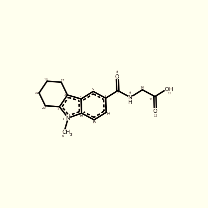 Cn1c2c(c3cc(C(=O)NCC(=O)O)ccc31)CCCC2